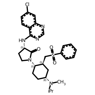 CC(C)N(C)[C@@H]1CC[C@H](N2CC[C@H](Nc3ncnc4cc(Cl)ccc34)C2=O)[C@@H](CS(=O)(=O)c2ccccc2)C1